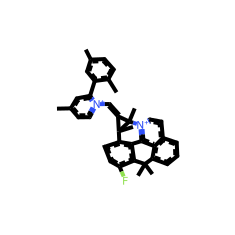 Cc1ccc(C)c(-c2cc(C)cc[n+]2/C=C2\C3(C)c4ccc(F)c5c4-c4c6c(cccc6cc[n+]4C23C)C5(C)C)c1